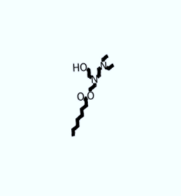 CCCCCCCC(=O)OCCN(CCO)CCN(CC)CC